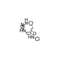 Cc1cnc2nc1Nc1ccc(C(=O)Nc3ccccc3)c(c1)CCc1cccc(c1)N2